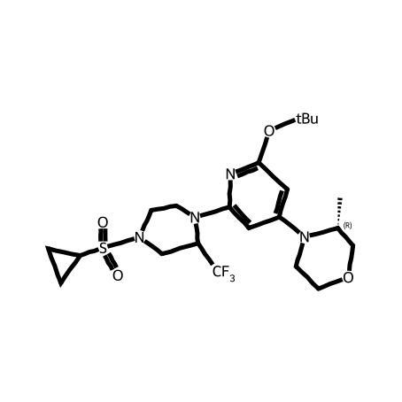 C[C@@H]1COCCN1c1cc(OC(C)(C)C)nc(N2CCN(S(=O)(=O)C3CC3)CC2C(F)(F)F)c1